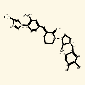 COc1cc(C=C2CCCN([C@@H]3CCN(Cc4ccc(F)c(F)c4)C3O)C2=O)ccc1-n1cnc(C)c1